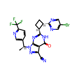 C[C@@H](c1ccc(C(F)(F)F)nc1)n1nc(C#N)c2c(=O)[nH]c([C@H]3CC[C@@H]3c3ncc(Br)cn3)nc21